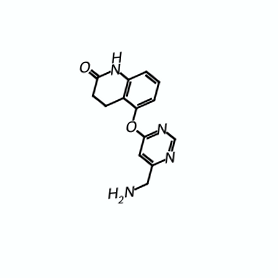 NCc1cc(Oc2cccc3c2CCC(=O)N3)ncn1